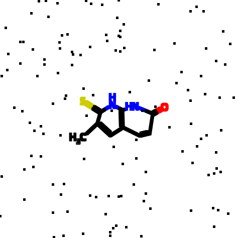 Cc1cc2ccc(=O)[nH]c2[nH]c1=S